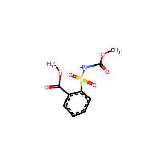 COC(=O)NS(=O)(=O)c1ccccc1C(=O)OC